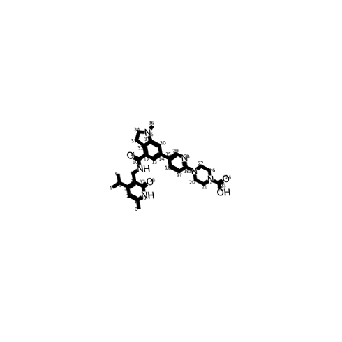 Cc1cc(C(C)C)c(CNC(=O)c2cc(-c3ccc(N4CCN(C(=O)O)CC4)nc3)cc3c2CCN3C)c(=O)[nH]1